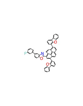 Fc1cccc(-c2ccc3oc(-c4cc(-c5cccc6c5oc5ccccc56)c5ccc6ccc(-c7cccc8c7oc7ccccc78)c7ccc4c5c67)nc3c2)c1